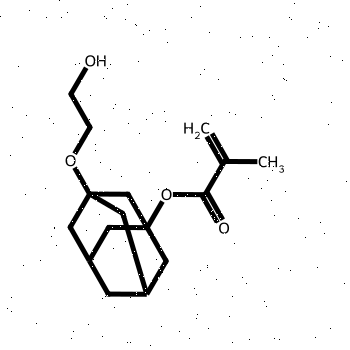 C=C(C)C(=O)OC12CC3CC(CC(OCCO)(C3)C1)C2